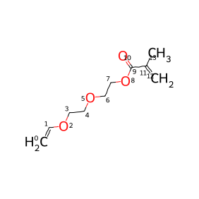 C=COCCOCCOC(=O)C(=C)C